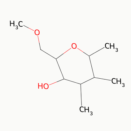 COCC1OC(C)C(C)C(C)C1O